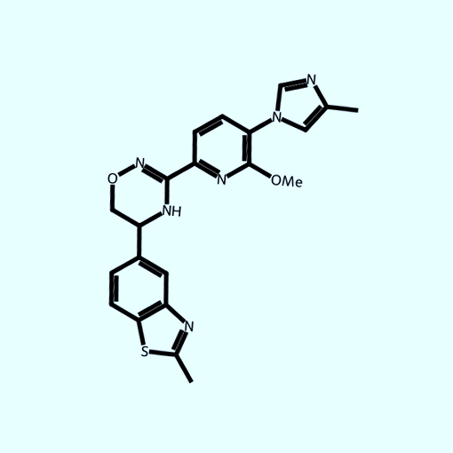 COc1nc(C2=NOCC(c3ccc4sc(C)nc4c3)N2)ccc1-n1cnc(C)c1